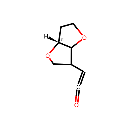 O=C=CC1CO[C@@H]2CCOC12